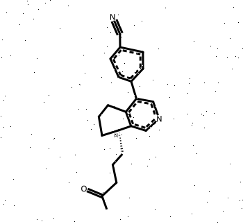 CC(=O)CCC[C@@H]1CCCc2c(-c3ccc(C#N)cc3)cncc21